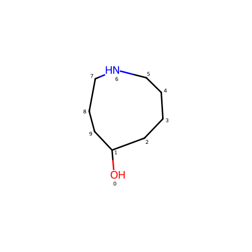 OC1CCCCNCCC1